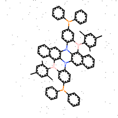 Cc1cc(C)c(B2c3cc(P(c4ccccc4)c4ccccc4)ccc3N3c4cc5ccccc5c5c4N(c4ccc(P(c6ccccc6)c6ccccc6)cc4B5c4c(C)cc(C)cc4C)c4cc5ccccc5c2c43)c(C)c1